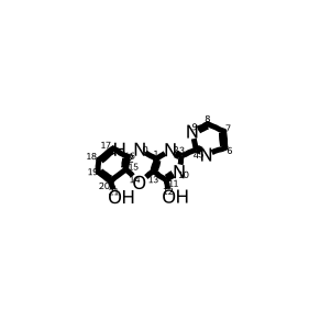 Nc1nc(-c2ncccn2)nc(O)c1Oc1ccccc1O